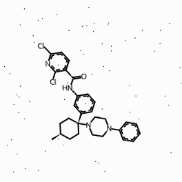 C[C@H]1CC[C@](c2cccc(NC(=O)c3ccc(Cl)nc3Cl)c2)(N2CCN(c3ccccc3)CC2)CC1